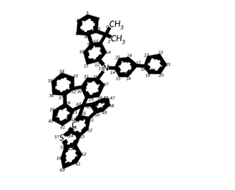 CC1(C)c2ccccc2-c2ccc(N(c3ccc(-c4ccccc4)cc3)c3ccc4c(c3)-c3ccccc3-c3ccccc3C43c4ccccc4-c4cc5c(cc43)sc3ccccc35)cc21